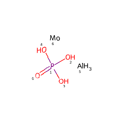 O=P(O)(O)O.[AlH3].[Mo]